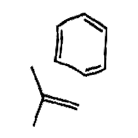 C=C(C)C.c1ccccc1